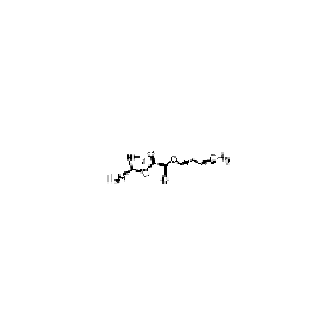 CCCCOC(=O)C(=O)OC(N)N